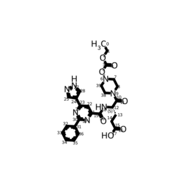 CCOC(=O)ON1CCN(C(=O)[C@H](CCC(=O)O)NC(=O)c2cc(-c3cn[nH]c3)nc(-c3ccccc3)n2)CC1